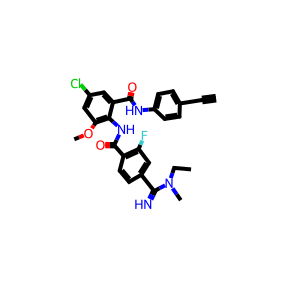 C#Cc1ccc(NC(=O)c2cc(Cl)cc(OC)c2NC(=O)c2ccc(C(=N)N(C)CC)cc2F)cc1